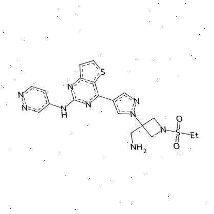 CCS(=O)(=O)N1CC(CN)(n2cc(-c3nc(Nc4ccnnc4)nc4ccsc34)cn2)C1